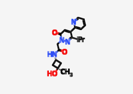 CC(C)c1nn(CC(=O)N[C@H]2C[C@](C)(O)C2)c(=O)cc1-c1ccccn1